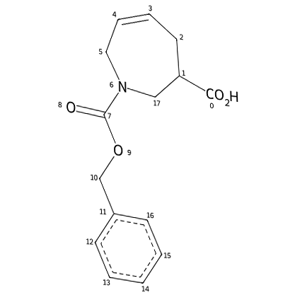 O=C(O)C1CC=CCN(C(=O)OCc2ccccc2)C1